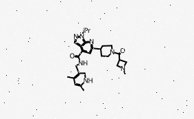 CC1=CC(C)=C(CNC(=O)c2cc(C3CCN(C(=O)C4CN(C)C4)CC3)nc3c2cnn3C(C)C)CN1